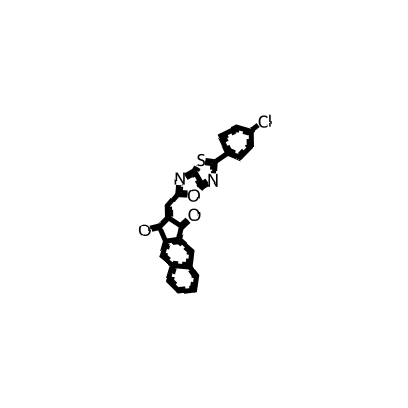 O=C1C(=Cc2nc3sc(-c4ccc(Cl)cc4)nc3o2)C(=O)c2cc3ccccc3cc21